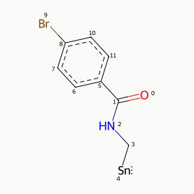 O=C(N[CH2][Sn])c1ccc(Br)cc1